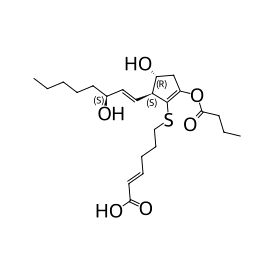 CCCCC[C@H](O)C=C[C@@H]1C(SCCCC=CC(=O)O)=C(OC(=O)CCC)C[C@H]1O